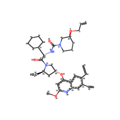 C=CCO[C@H]1CCCN(C(=O)N[C@H](C(=O)N2C[C@H](Oc3cc(OCC)nc4cc(OC)c(C=C)cc34)C[C@H]2C(=O)O)C2CCCCC2)C1